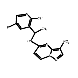 CC(Nc1ccn2ncc([N+](=O)[O-])c2n1)c1cc(F)cnc1O